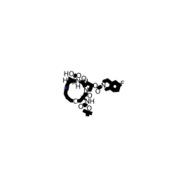 CC(C)(C)OC(=O)N[C@H]1CCCCC/C=C/[C@@H]2C[C@@]2(C(=O)O)NC(=O)[C@@H]2C[C@@H](OC(=O)N3CCc4cc(F)ccc4C3)CN2C1=O